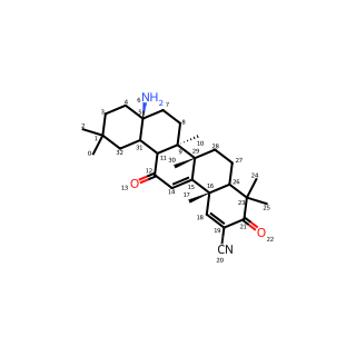 CC1(C)CC[C@]2(N)CC[C@]3(C)C(C(=O)C=C4[C@@]5(C)C=C(C#N)C(=O)C(C)(C)C5CC[C@]43C)C2C1